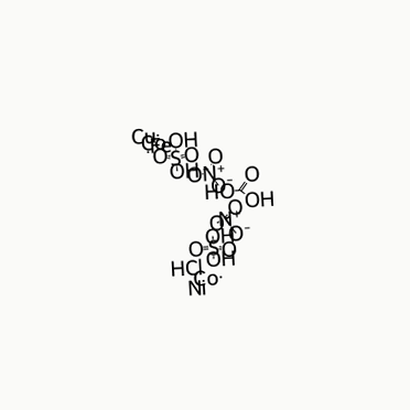 Cl.O=C(O)O.O=S(=O)(O)O.O=S(=O)(O)O.O=[N+]([O-])[O-].O=[N+]([O-])[O-].[Co].[Co].[Cu].[Fe].[Ni]